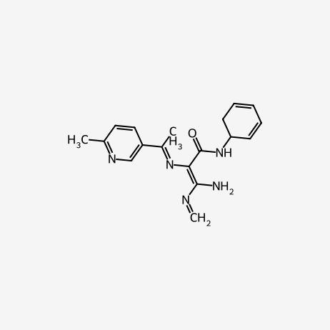 C=N/C(N)=C(\N=C(/C)c1ccc(C)nc1)C(=O)NC1C=CC=CC1